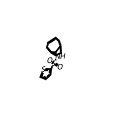 O=S(=O)(NC1C2CC=CCC1CC2)c1cccs1